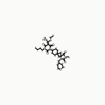 CCCCN1C(=O)/C(=C(\NC)SCC)C(=O)N(C2CCC3(CC2)CC2(C3)C(=O)N(C)C(=O)N2CC2CCOCC2)C1=O